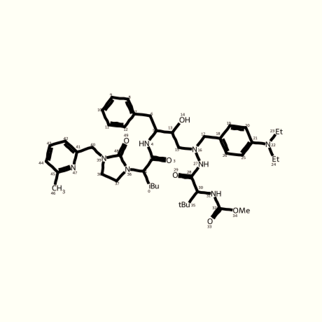 CCC(C)C(C(=O)NC(Cc1ccccc1)C(O)CN(Cc1ccc(N(CC)CC)cc1)NC(=O)C(NC(=O)OC)C(C)(C)C)N1CCN(Cc2cccc(C)n2)C1=O